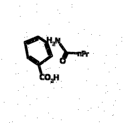 CCCC(N)=O.O=C(O)c1ccccc1